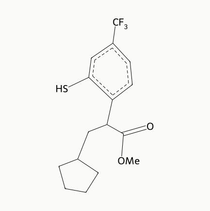 COC(=O)C(CC1CCCC1)c1ccc(C(F)(F)F)cc1S